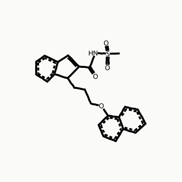 CS(=O)(=O)NC(=O)C1=Cc2ccccc2C1CCCOc1cccc2ccccc12